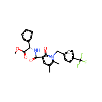 COC(=O)[C@@H](NC(=O)c1cc(C)c(C)n(Cc2ccc(C(F)(F)F)cc2)c1=O)c1ccccc1